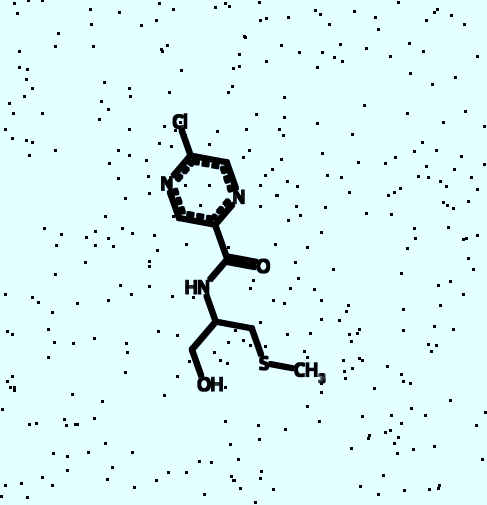 CSCC(CO)NC(=O)c1cnc(Cl)cn1